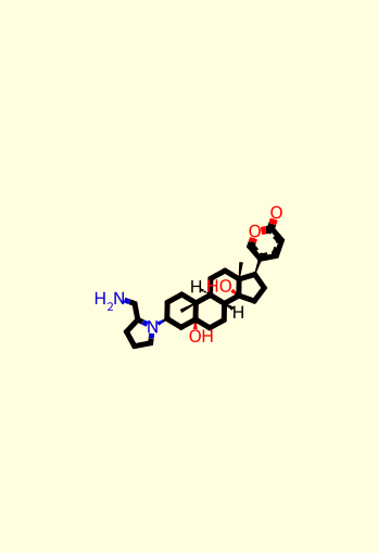 C[C@]12CC[C@H](N3CCCC3CN)C[C@@]1(O)CC[C@@H]1[C@@H]2CC[C@]2(C)[C@@H](c3ccc(=O)oc3)CC[C@]12O